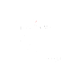 CCOC(=O)/C=C/CCc1ccccc1/C=C(\C)C(=O)OC